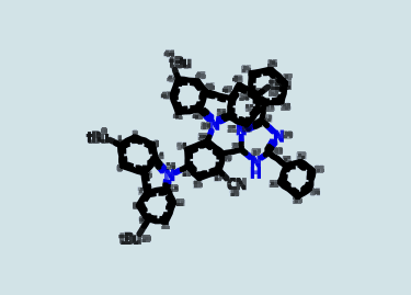 CC(C)(C)c1ccc2c(c1)c1cc(C(C)(C)C)ccc1n2-c1cc(C#N)c(C2N=C(c3ccccc3)N=C(c3ccccc3)N2)c(-n2c3ccc(C(C)(C)C)cc3c3cc(C(C)(C)C)ccc32)c1